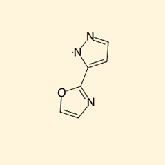 C1=N[N]C(c2ncco2)=C1